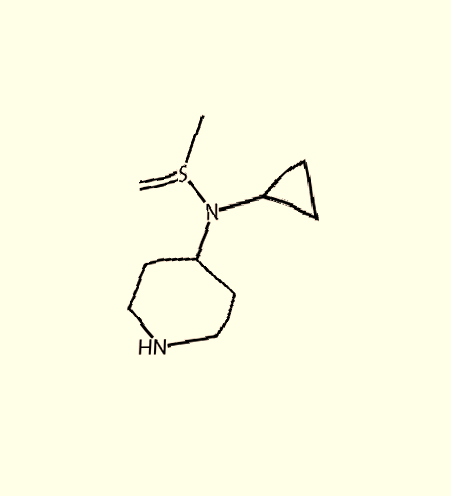 C=S(C)N(C1CCNCC1)C1CC1